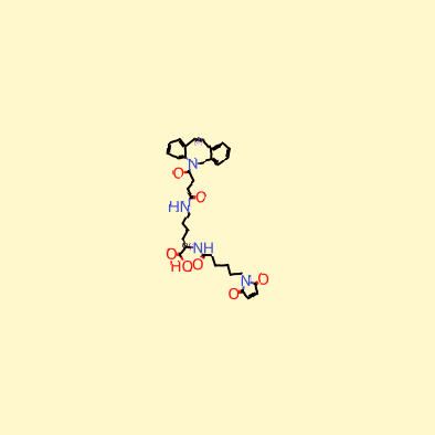 O=C(CCC(=O)N1Cc2ccccc2/C=C\c2ccccc21)NCCCC[C@@H](NC(=O)CCCCCN1C(=O)C=CC1=O)C(=O)O